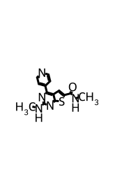 CNC(=O)c1cc2c(-c3ccncc3)nc(NC)nc2s1